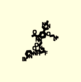 CC(=O)c1nn(CC(=O)N2C[C@H](F)C[C@H]2C(=O)Nc2cccc(Br)n2)c2cc(OCCN(C)C)c(-c3cnc(C)nc3)cc12